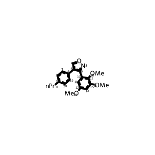 CCCc1ccc(-c2conc2-c2cc(OC)cc(OC)c2OC)cc1